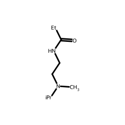 CCC(=O)NCCN(C)C(C)C